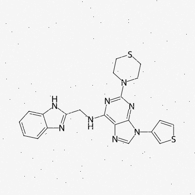 c1ccc2[nH]c(CNc3nc(N4CCSCC4)nc4c3ncn4-c3ccsc3)nc2c1